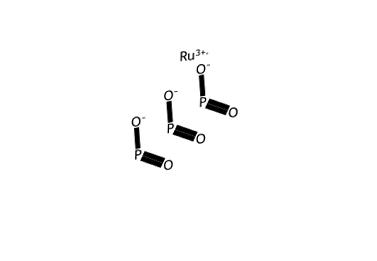 O=P[O-].O=P[O-].O=P[O-].[Ru+3]